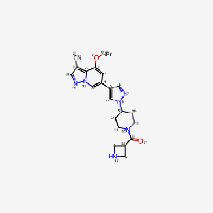 CC(C)Oc1cc(-c2cnn(C3CCN(C(=O)C4CNC4)CC3)c2)cn2ncc(C#N)c12